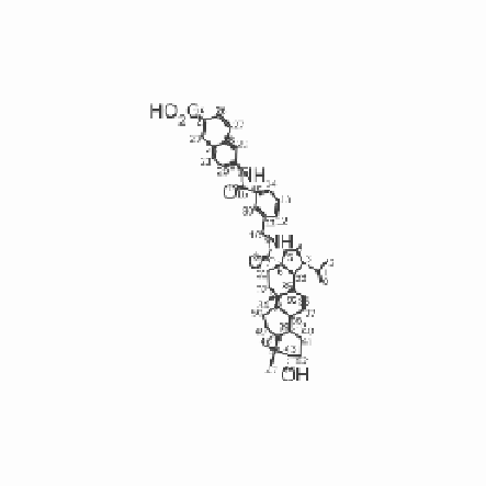 C=C(C)[C@@H]1CC[C@]2(C(=O)NCc3cccc(C(=O)Nc4ccc5cc(C(=O)O)ccc5c4)c3)CC[C@]3(C)C(CCC4[C@@]5(C)CC[C@H](O)C(C)(C)C5CC[C@]43C)C12